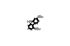 CC(C)(C)c1ccc2c(c1)[nH]c1cccc(C(C)(C)C)c12